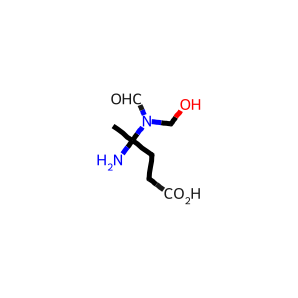 CC(N)(CCC(=O)O)N(C=O)CO